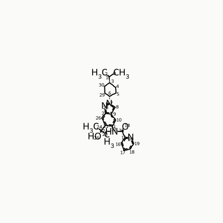 CC(C)[C@H]1CC[C@H](n2cc3cc(NC(=O)c4ccccn4)c(C(C)(C)O)cc3n2)CC1